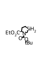 CCOC(=O)[C@H]1CC[SiH2]CN1C(=O)OC(C)(C)C